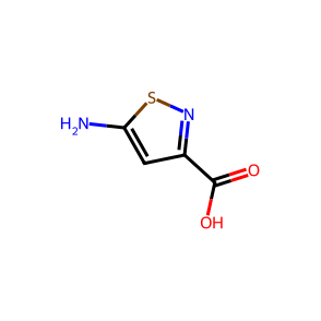 Nc1cc(C(=O)O)ns1